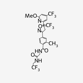 COc1cc(C(F)(F)F)cc([C@@]2(C(F)(F)F)CC(c3ccc(C(=O)NCC(=O)NCC(F)(F)F)c(C)c3)=NO2)n1